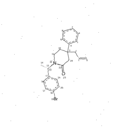 C=CCC1(c2ccccc2)CCN([C@@H](C)c2ccc(Br)cc2)C(=O)C1